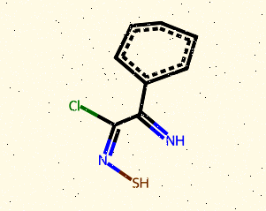 N=C(/C(Cl)=N\S)c1ccccc1